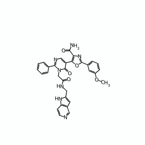 COc1cccc(-c2nc(C(N)=O)c(-c3cnc(-c4ccccc4)n(CC(=O)NCc4cc5cnccc5[nH]4)c3=O)o2)c1